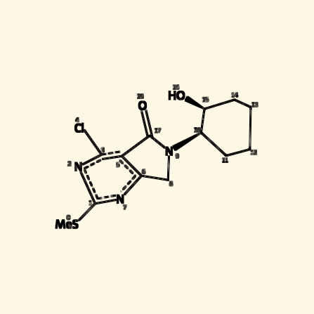 CSc1nc(Cl)c2c(n1)CN([C@@H]1CCCC[C@@H]1O)C2=O